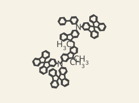 CC1(C)c2ccc(CC3(C)c4ccccc4-c4cc(N(c5cccc(-c6ccccc6)c5)c5ccc6c(c5)-c5ccccc5C65c6ccccc6-c6ccccc65)ccc43)cc2-c2ccc(N(c3ccc4c(c3)-c3ccccc3C43c4ccccc4-c4ccccc43)c3ccc4c(c3)C3(c5ccccc5-c5ccccc53)c3ccccc3-4)cc21